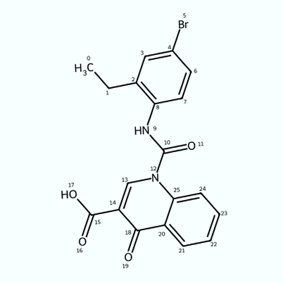 CCc1cc(Br)ccc1NC(=O)n1cc(C(=O)O)c(=O)c2ccccc21